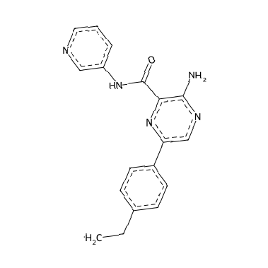 [CH2]Cc1ccc(-c2cnc(N)c(C(=O)Nc3cccnc3)n2)cc1